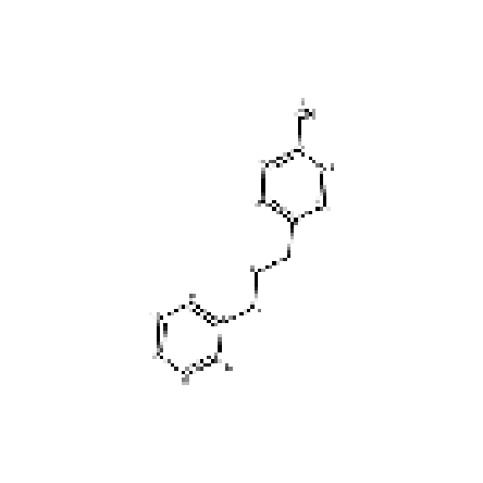 N#Cc1ccc(CCCc2ccccn2)cc1